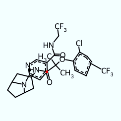 CC(C)(Oc1ccc(C(F)(F)F)cc1Cl)C(=O)NC1CC2CCC(C1)N2c1ccc(C(=O)NCC(F)(F)F)cn1